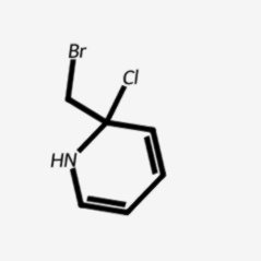 ClC1(CBr)C=CC=CN1